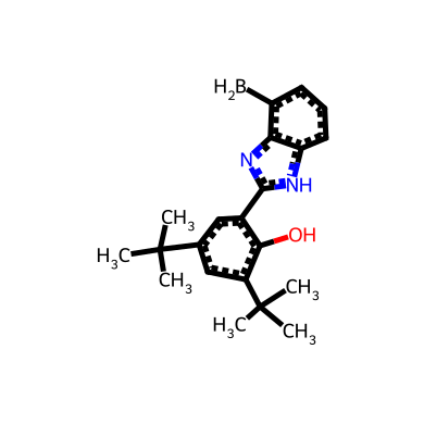 Bc1cccc2[nH]c(-c3cc(C(C)(C)C)cc(C(C)(C)C)c3O)nc12